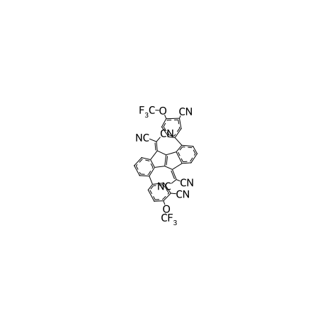 N#CC(C#N)=C1C2=C(C(=C(C#N)C#N)c3cccc(-c4ccc(OC(F)(F)F)c(C#N)c4)c32)c2c1cccc2-c1ccc(OC(F)(F)F)c(C#N)c1